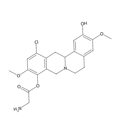 COc1cc2c(cc1O)C1Cc3c(Cl)cc(OC)c(OC(=O)CN)c3CN1CC2